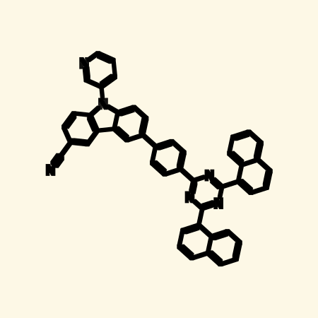 N#Cc1ccc2c(c1)c1cc(-c3ccc(-c4nc(-c5cccc6ccccc56)nc(-c5cccc6ccccc56)n4)cc3)ccc1n2-c1cccnc1